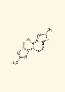 Cc1nc2c(ccc3c2ccc2sc(C)nc23)s1